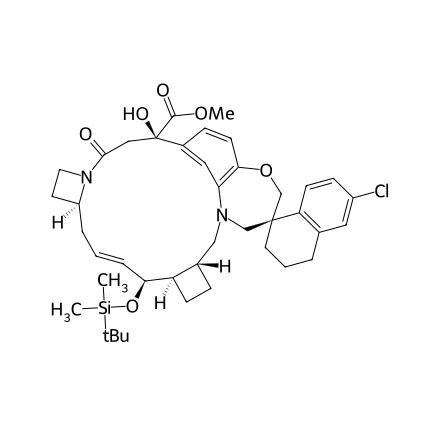 COC(=O)[C@@]1(O)CC(=O)N2CC[C@@H]2C/C=C/[C@H](O[Si](C)(C)C(C)(C)C)[C@@H]2CC[C@H]2CN2C[C@@]3(CCCc4cc(Cl)ccc43)COc3ccc1cc32